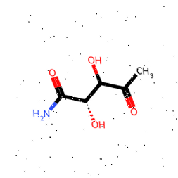 CC(=O)C(O)[C@H](O)C(N)=O